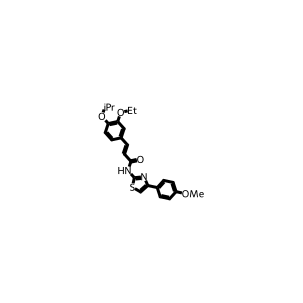 CCOc1cc(/C=C/C(=O)Nc2nc(-c3ccc(OC)cc3)cs2)ccc1OC(C)C